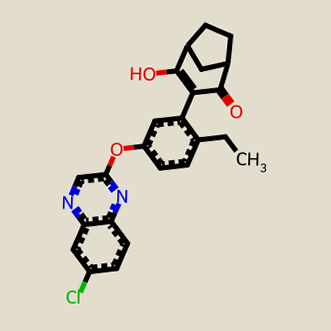 CCc1ccc(Oc2cnc3cc(Cl)ccc3n2)cc1C1=C(O)C2CCC(C2)C1=O